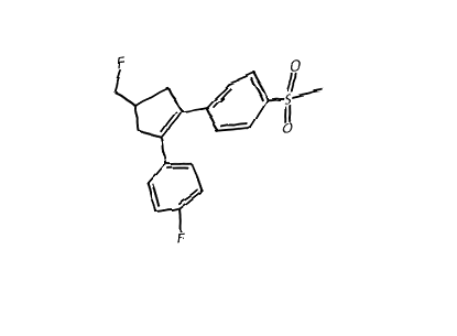 CS(=O)(=O)c1ccc(C2=C(c3ccc(F)cc3)CC(CF)C2)cc1